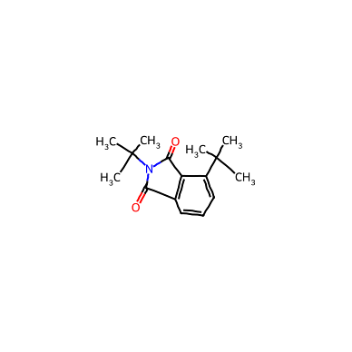 CC(C)(C)c1cccc2c1C(=O)N(C(C)(C)C)C2=O